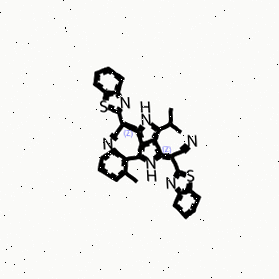 Cc1ccccc1-c1[nH]/c(=C(/C#N)c2nc3ccccc3s2)c2c(C(C)C)[nH]/c(=C(/C#N)c3nc4ccccc4s3)c12